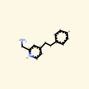 NCc1cc(CCc2ccccc2)ccn1